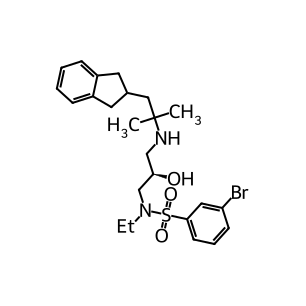 CCN(C[C@H](O)CNC(C)(C)CC1Cc2ccccc2C1)S(=O)(=O)c1cccc(Br)c1